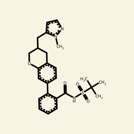 Cn1nccc1CC1COc2cc(-c3ccccc3C(=O)NS(=O)(=O)C(C)(C)C)ccc2C1